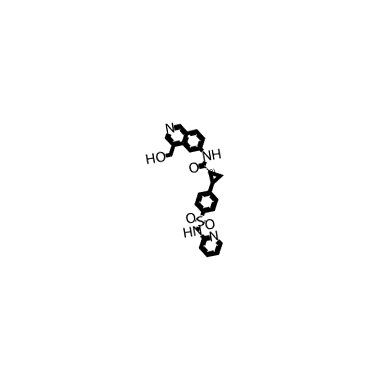 O=C(Nc1ccc2cncc(CO)c2c1)[C@@H]1CC1c1ccc(S(=O)(=O)Nc2ccccn2)cc1